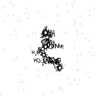 COc1cc(CC(=O)N(C)c2ccc(C3CN(C(=O)c4ccccc4)CC3C(=O)O)cc2)ccc1NC(=O)C1CNc2ccccc21